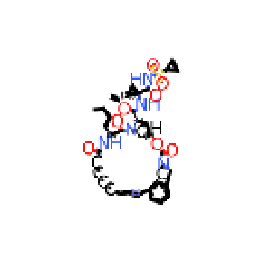 C=C[C@@H]1C[C@]1(NC(=O)[C@@H]1C[C@@H]2CN1C(=O)[C@H](CCCC)NC(=O)CCCCC/C=C/c1cccc3c1CN(C3)C(=O)O2)C(=O)NS(=O)(=O)C1CC1